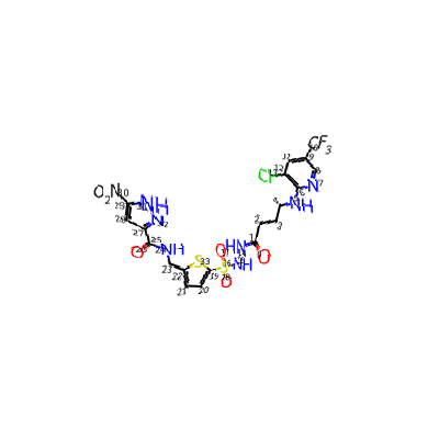 O=C(CCCNc1ncc(C(F)(F)F)cc1Cl)NNS(=O)(=O)c1ccc(CNC(=O)c2cc([N+](=O)[O-])[nH]n2)s1